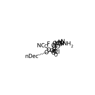 CCCCCCCCCCCCCCCCOC[C@H](COP(=O)(OC[C@H]1O[C@@](C#N)(c2ccc3c(N)ncnn23)[C@@H]2OC(C)(C)O[C@@H]21)Oc1ccccc1Cl)OCc1cc(F)cc(C#N)c1